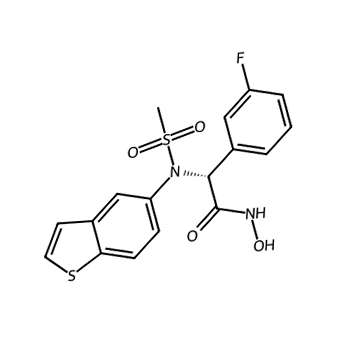 CS(=O)(=O)N(c1ccc2sccc2c1)[C@@H](C(=O)NO)c1cccc(F)c1